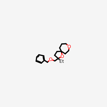 CCC1(COCc2ccccc2)CCC2(CCCOCC2)O1